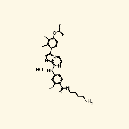 CCc1cc(Nc2nccn3c(-c4ccc(OC(F)F)c(F)c4F)cnc23)ccc1C(=O)NCCCCN.Cl